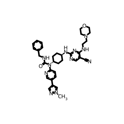 Cn1cc(-c2ccc(N(C(=O)NCc3ccccc3)[C@H]3CC[C@H](Nc4ncc(C#N)c(NCCN5CCOCC5)n4)CC3)nc2)cn1